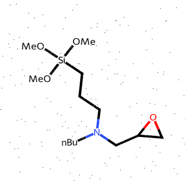 CCCCN(CCC[Si](OC)(OC)OC)CC1CO1